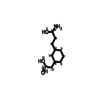 NC(O)CCC1CCCC(C[PH](=O)O)C1